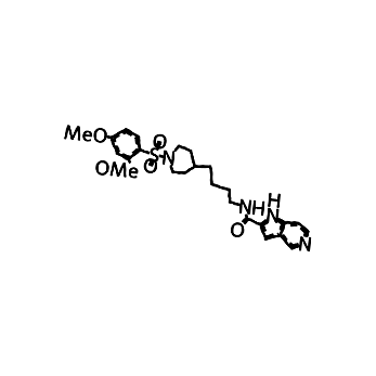 COc1ccc(S(=O)(=O)N2CCC(CCCCNC(=O)c3cc4cnccc4[nH]3)CC2)c(OC)c1